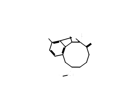 CCN[C@H]1CCCC(=O)[C@@H]2Oc3c(O)ccc(c3C2C)C1